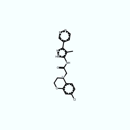 Cc1c(-c2ccnnc2)n[nH]c1NC(=O)C[C@@H]1CCOc2cc(Cl)ccc21